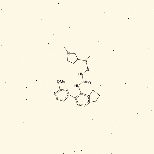 COc1cc(-c2ccc3c(c2NC(=O)NSN(C)C2CCN(C)C2)CCC3)ccn1